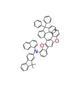 CC1(C)c2ccccc2-c2ccc(N(c3cccc4ccccc34)c3cccc4c3oc3c(-c5cccc6c5-c5ccccc5C6(c5ccccc5)c5ccccc5)c5c(cc34)oc3ccccc35)cc21